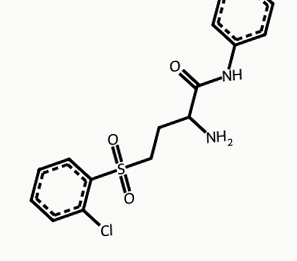 NC(CCS(=O)(=O)c1ccccc1Cl)C(=O)Nc1ccccc1